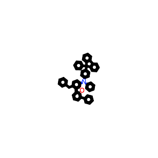 c1ccc(Cc2ccc(N(c3ccccc3)c3ccc(C4(c5ccccc5)c5ccccc5-c5ccccc54)cc3)c3oc4c(-c5ccccc5)cccc4c23)cc1